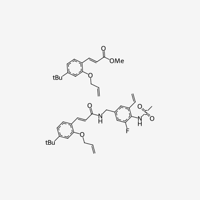 C=CCOc1cc(C(C)(C)C)ccc1/C=C/C(=O)NCc1cc(F)c(NS(C)(=O)=O)c(C=C)c1.C=CCOc1cc(C(C)(C)C)ccc1/C=C/C(=O)OC